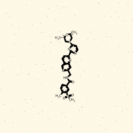 Cc1ccc(C(=O)NCc2cc3nc(-c4nccc(N5C[C@@H](C)O[C@@H](C)C5)n4)ccc3cn2)cc1S(C)(=O)=O